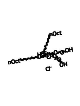 CCCCCCCCC=CCCCCCCCCOCC(C[N+](C)(C)CCCC(OCCOCCO)OCCOCCO)OCCCCCCCCC=CCCCCCCCC.[Cl-]